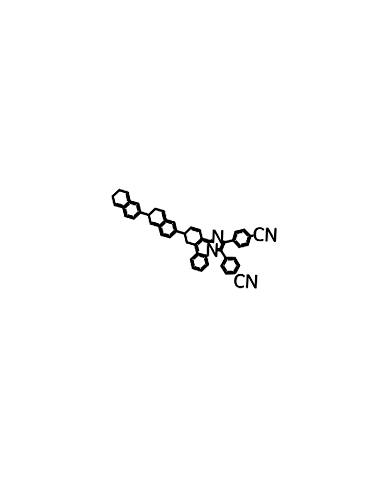 N#Cc1ccc(-c2nc3c4c(c5ccccc5n3c2-c2ccc(C#N)cc2)CC(c2ccc3c(c2)=CCC(c2ccc5c(c2)=CCCC=5)C=3)C=C4)cc1